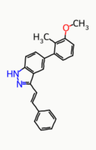 COc1cccc(-c2ccc3[nH]nc(/C=C/c4ccccc4)c3c2)c1C